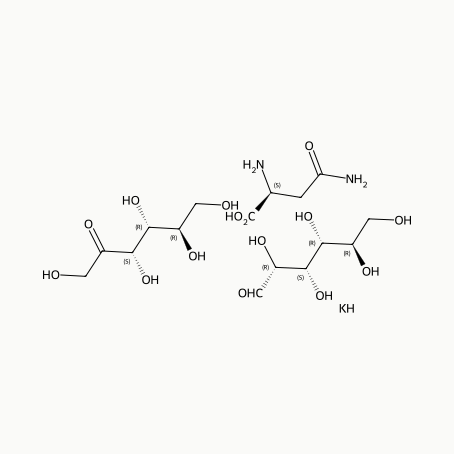 NC(=O)C[C@H](N)C(=O)O.O=C(CO)[C@@H](O)[C@H](O)[C@H](O)CO.O=C[C@H](O)[C@@H](O)[C@H](O)[C@H](O)CO.[KH]